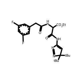 CCOC(=O)C(NC(=O)Cc1cc(F)cc(F)c1)C(=O)NC1=CC(C(C)(C)C)(C(C)(C)C)N=N1